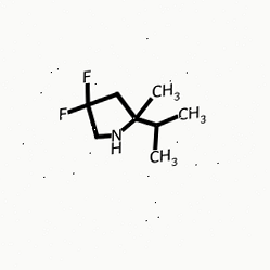 CC(C)C1(C)CC(F)(F)CN1